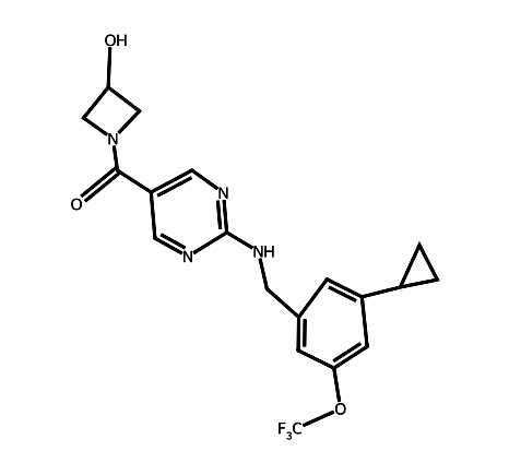 O=C(c1cnc(NCc2cc(OC(F)(F)F)cc(C3CC3)c2)nc1)N1CC(O)C1